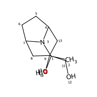 CC(C)N1C2CCC1CC(O)(CO)C2